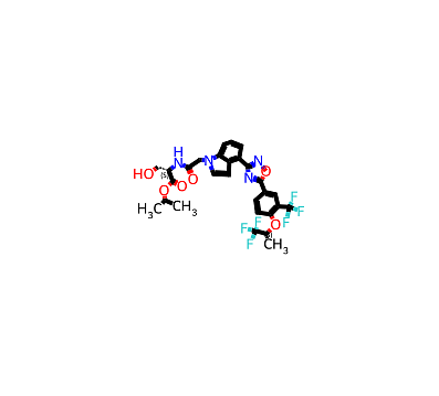 CC(C)OC(=O)[C@H](CO)NC(=O)Cn1ccc2c(-c3noc(-c4ccc(O[C@@H](C)C(F)(F)F)c(C(F)(F)F)c4)n3)cccc21